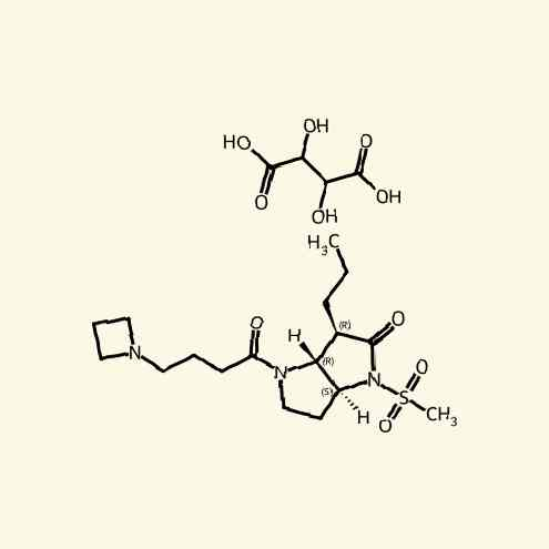 CCC[C@H]1C(=O)N(S(C)(=O)=O)[C@H]2CCN(C(=O)CCCN3CCC3)[C@H]12.O=C(O)C(O)C(O)C(=O)O